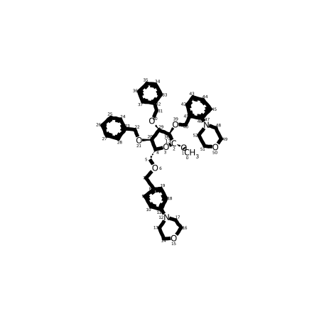 CO[13C@@H]1O[C@H](COCc2ccc(N3CCOCC3)cc2)[C@@H](OCc2ccccc2)[C@H](OCc2ccccc2)[C@H]1OCc1ccccc1N1CCOCC1